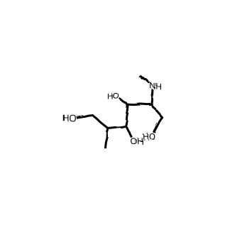 CNC(CO)C(O)C(O)C(C)CO